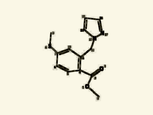 COC(=O)c1ccc(SC)cc1Cn1cccn1